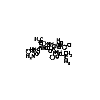 CCCC(NC(=O)C1C[C@@H](NS(=O)(=O)c2cccc(Cl)c2)CN1C(=O)[C@@H](NC(=O)OCC(C)C)C1CCCCC1)C(=O)C(=O)NCC(=O)N[C@H](C(N)=O)c1ccccc1